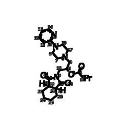 CC(C)C(=O)OC(CN1CCN(c2ccccn2)CC1)CN1C(=O)[C@H]2CCCC[C@H]2C1=O